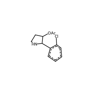 CC(=O)OC1CCNC1c1ccccc1Cl